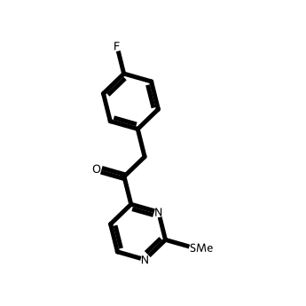 CSc1nccc(C(=O)Cc2ccc(F)cc2)n1